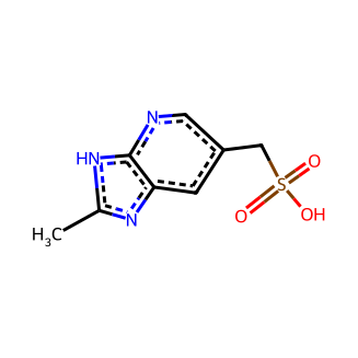 Cc1nc2cc(CS(=O)(=O)O)cnc2[nH]1